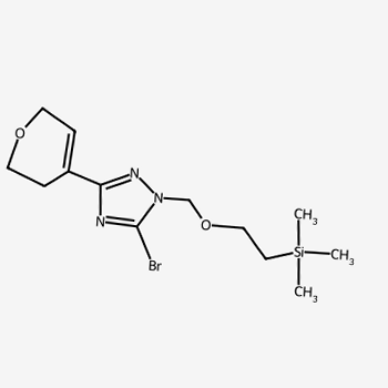 C[Si](C)(C)CCOCn1nc(C2=CCOCC2)nc1Br